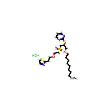 CCCCCCCCCCCCCCCCCCOCC(CS(=O)(=O)CCOCCc1nccs1)Oc1ncccn1.Cl